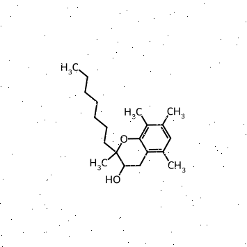 CCCCCCCC1(C)Oc2c(C)c(C)cc(C)c2CC1O